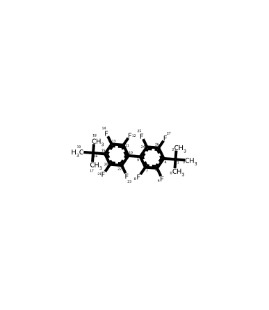 CC(C)(C)c1c(F)c(F)c(-c2c(F)c(F)c(C(C)(C)C)c(F)c2F)c(F)c1F